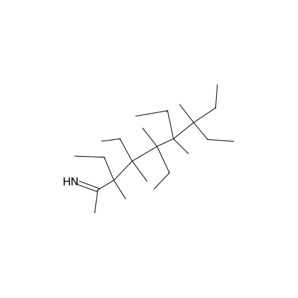 CCC(C)(CC)C(C)(CC)C(C)(CC)C(C)(CC)C(C)(CC)C(C)=N